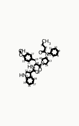 CCCC(=O)N(c1ccccc1)[C@@H]1CCN(C(=O)[C@@H](Cc2ccc(OC)cc2)NC(=O)C2CNc3ccccc32)C1